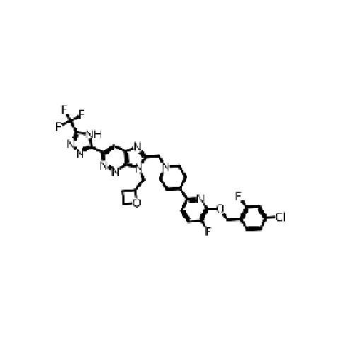 Fc1cc(Cl)ccc1COc1nc(C2CCN(Cc3nc4cc(-c5nnc(C(F)(F)F)[nH]5)nnc4n3CC3CCO3)CC2)ccc1F